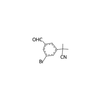 CC(C)(C#N)c1cc(Br)cc(C=O)c1